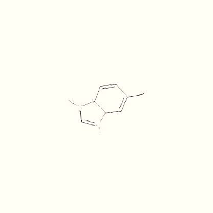 CC1=CC2N=CN(C)C2C=C1